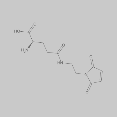 N[C@H](CCC(=O)NCCN1C(=O)C=CC1=O)C(=O)O